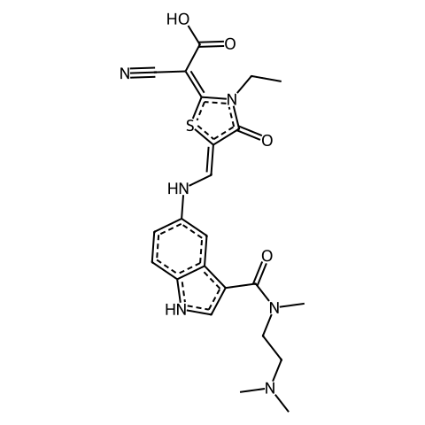 CCn1c(=C(C#N)C(=O)O)sc(=CNc2ccc3[nH]cc(C(=O)N(C)CCN(C)C)c3c2)c1=O